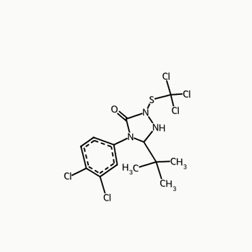 CC(C)(C)C1NN(SC(Cl)(Cl)Cl)C(=O)N1c1ccc(Cl)c(Cl)c1